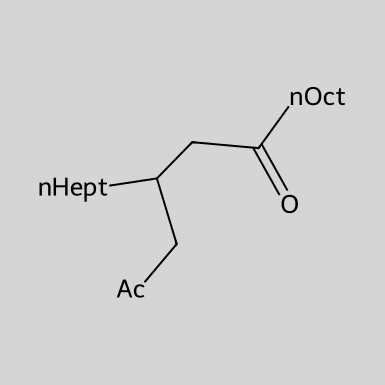 CCCCCCCCC(=O)CC(CCCCCCC)CC(C)=O